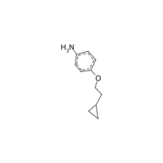 Nc1ccc(OCCC2CC2)cc1